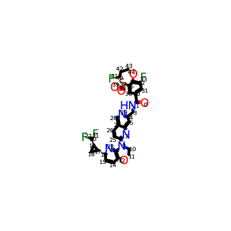 O=C(NCc1cc2nc(N3CCOc4ccc([C@@H]5C[C@H]5C(F)F)nc43)ccc2cn1)c1cc(F)c2c(c1)S(=O)(=O)[C@@H](F)CCO2